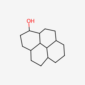 OC1CCC2CCC3CCCC4CCC1C2C34